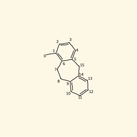 Cc1cccc2c1CCc1ccccc1C2